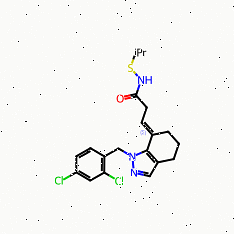 CC(C)SNC(=O)C/C=C1\CCCc2cnn(Cc3ccc(Cl)cc3Cl)c21